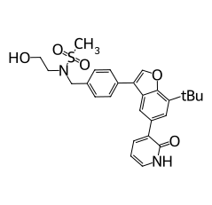 CC(C)(C)c1cc(-c2ccc[nH]c2=O)cc2c(-c3ccc(CN(CCO)S(C)(=O)=O)cc3)coc12